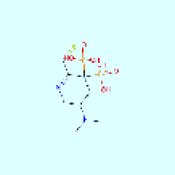 CN(C)C1CN=C(C=S)C(P(=O)(O)O)(P(=O)(O)O)C1